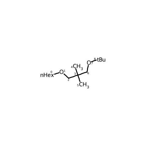 CCCCCCOCC(C)(C)COC(C)(C)C